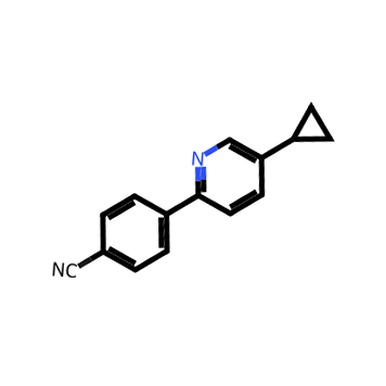 N#Cc1ccc(-c2ccc(C3CC3)cn2)cc1